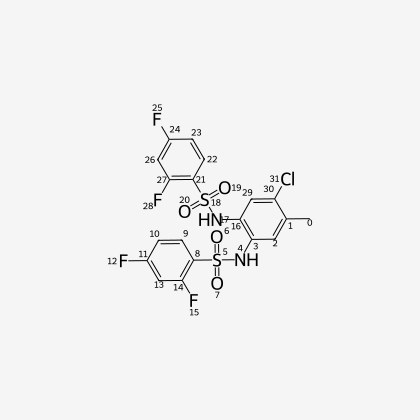 Cc1cc(NS(=O)(=O)c2ccc(F)cc2F)c(NS(=O)(=O)c2ccc(F)cc2F)cc1Cl